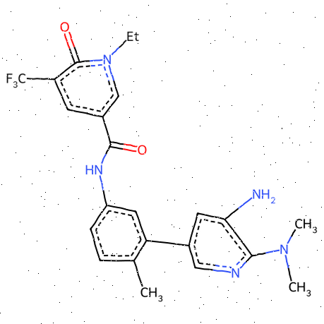 CCn1cc(C(=O)Nc2ccc(C)c(-c3cnc(N(C)C)c(N)c3)c2)cc(C(F)(F)F)c1=O